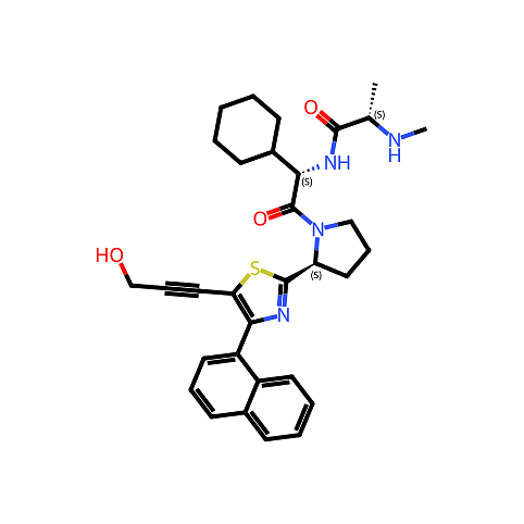 CN[C@@H](C)C(=O)N[C@H](C(=O)N1CCC[C@H]1c1nc(-c2cccc3ccccc23)c(C#CCO)s1)C1CCCCC1